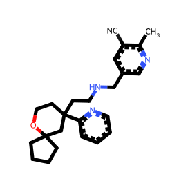 Cc1ncc(CNCCC2(c3ccccn3)CCOC3(CCCC3)C2)cc1C#N